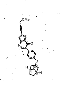 COCC#Cc1cc2ncn(-c3ccc(O[C@H]4C[C@H]5CC[C@@H](C4)N5C)cc3)c(=O)c2s1